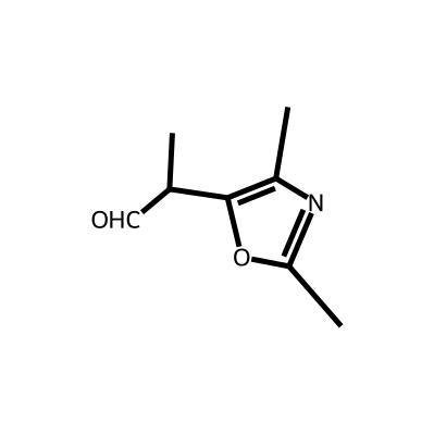 Cc1nc(C)c(C(C)C=O)o1